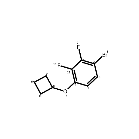 Fc1c(Br)ccc(OC2CCC2)c1F